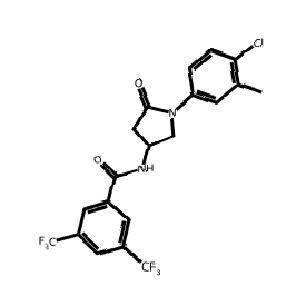 Cc1cc(N2CC(NC(=O)c3cc(C(F)(F)F)cc(C(F)(F)F)c3)CC2=O)ccc1Cl